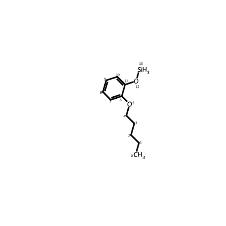 CCCCCOc1ccccc1O[SiH3]